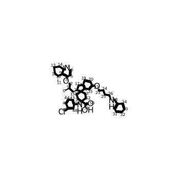 C[C@@H](COc1ccnc2c1[C@H](C)CCC2)C[C@H]1Cc2ccc(OCCCCNCc3ccccc3)cc2C12CCC(Nc1cccc(Cl)c1)(C(=O)O)CC2